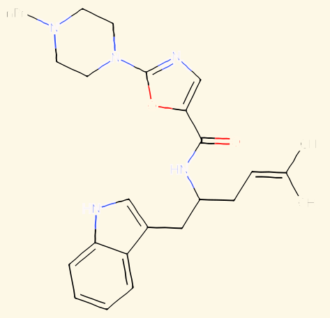 CCCN1CCN(c2ncc(C(=O)NC(CC=C(C)C)Cc3c[nH]c4ccccc34)o2)CC1